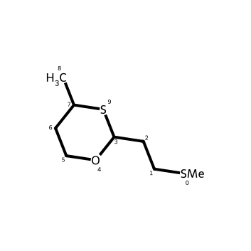 CSCCC1OCCC(C)S1